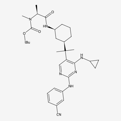 C[C@@H](C(=O)N[C@H]1CCC[C@@H](C(C)(C)c2cnc(Nc3cccc(C#N)c3)nc2NC2CC2)C1)N(C)C(=O)OC(C)(C)C